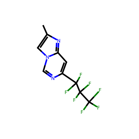 Cc1cn2cnc(C(F)(F)C(F)(F)C(F)(F)F)cc2n1